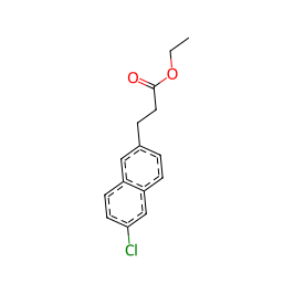 CCOC(=O)CCc1ccc2cc(Cl)ccc2c1